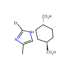 CCc1nc(C)c[nH]1.O=C(O)[C@H]1CC[C@H](C(=O)O)CC1